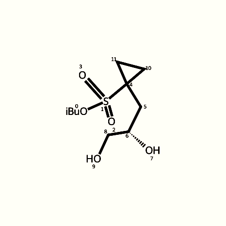 CC(C)COS(=O)(=O)C1(C[C@H](O)CO)CC1